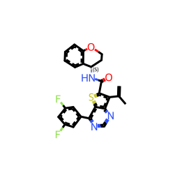 C=C(C)c1c(C(=O)N[C@H]2CCOc3ccccc32)sc2c(-c3cc(F)cc(F)c3)ncnc12